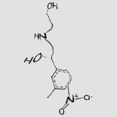 Cc1cc([C@H](O)CNCCO)ccc1[N+](=O)[O-]